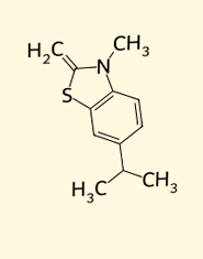 C=C1Sc2cc(C(C)C)ccc2N1C